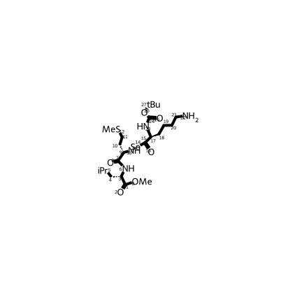 COC(=O)[C@H](CC(C)C)NC(=O)[C@H](CCSC)N[Se]C(=O)[C@H](CCCCN)NC(=O)OC(C)(C)C